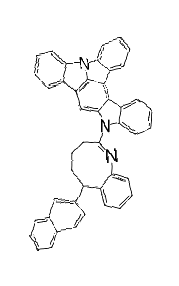 c1ccc2c(c1)/N=C(/n1c3ccccc3c3c4c5ccccc5n5c6ccccc6c(cc31)c45)CCCC2c1ccc2ccccc2c1